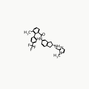 Cc1cccc(C(=O)Nc2ccc3c(c2)C[C@@H](NCc2nccn2C)C3)c1-c1ccc(C(F)(F)F)cc1